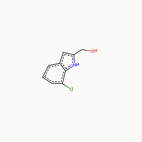 OCc1cc2cccc(Cl)c2[nH]1